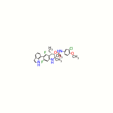 COc1ccc(NC(=O)OC2[C@@H](C)c3c(cc(F)c(-c4cccc5cc[nH]c45)c3F)NC2(C)C)cc1Cl